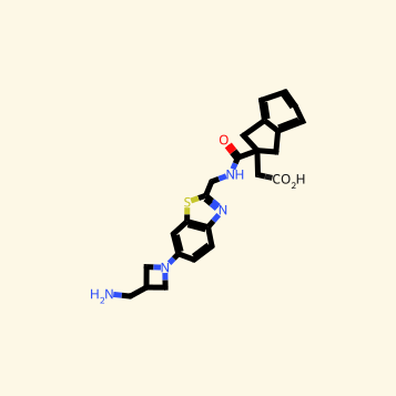 NCC1CN(c2ccc3nc(CNC(=O)C4(CC(=O)O)Cc5ccccc5C4)sc3c2)C1